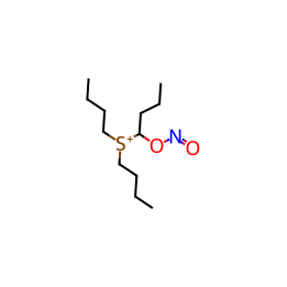 CCCC[S+](CCCC)C(CCC)ON=O